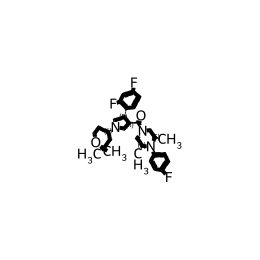 C[C@@H]1CN(C(=O)[C@H]2CN([C@H]3CCOC(C)(C)C3)C[C@@H]2c2ccc(F)cc2F)C[C@H](C)N1c1ccc(F)cc1